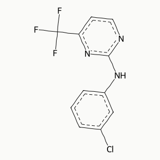 FC(F)(F)c1ccnc(Nc2cccc(Cl)c2)n1